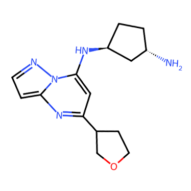 N[C@H]1CC[C@H](Nc2cc(C3CCOC3)nc3ccnn23)C1